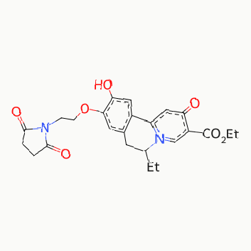 CCOC(=O)c1cn2c(cc1=O)-c1cc(O)c(OCCN3C(=O)CCC3=O)cc1CC2CC